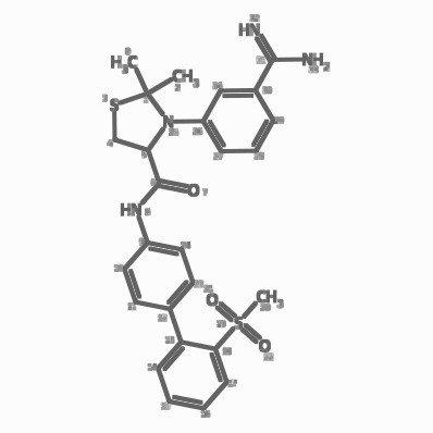 CC1(C)SCC(C(=O)Nc2ccc(-c3ccccc3S(C)(=O)=O)cc2)N1c1cccc(C(=N)N)c1